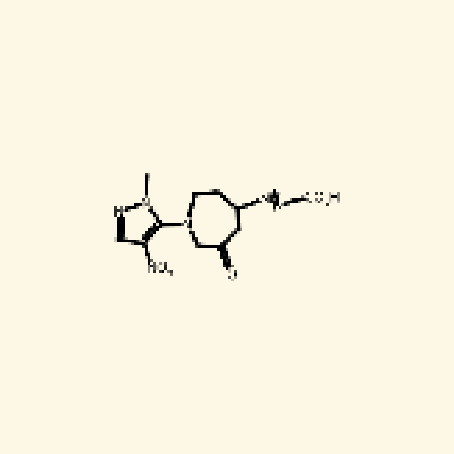 Cn1ncc([N+](=O)[O-])c1N1CCC(NNC(=O)O)CC(=O)C1